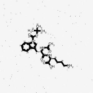 CC(=O)N[C@@H](Cc1cn(C(=O)OC(C)(C)C)c2ccccc12)C(=O)N[C@@H](CCCCN)C(=O)O